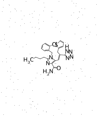 CCCCc1nc(C(N)=O)c(/C=C(\Cc2cccs2)c2nnn[nH]2)n1Cc1ccccc1Cl